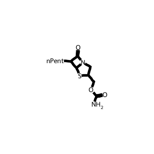 CCCCCC1C(=O)N2CC(COC(N)=O)SC12